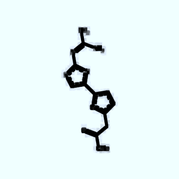 COC(=O)Cc1ccc(-c2csc(N=C(N)N)n2)o1